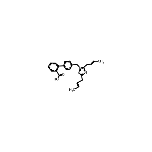 CC=CCc1nc(CC=CC)n(Cc2ccc(-c3ccccc3C(=O)O)cc2)n1